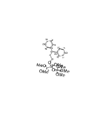 COC(OC)[Si](OC)(OCCC(c1ccccc1)c1ccccc1)OC(OC)(OC)OC